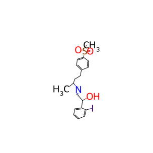 CC(CCc1ccc(S(C)(=O)=O)cc1)N=CC(O)c1ccccc1I